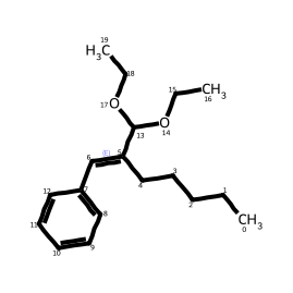 CCCCC/C(=C\c1ccccc1)C(OCC)OCC